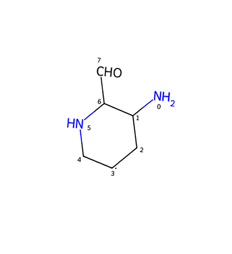 NC1C[CH]CNC1C=O